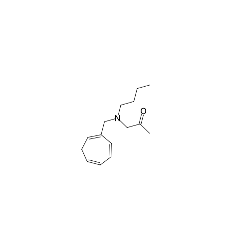 CCCCN(CC(C)=O)CC1=CCC=CC=C1